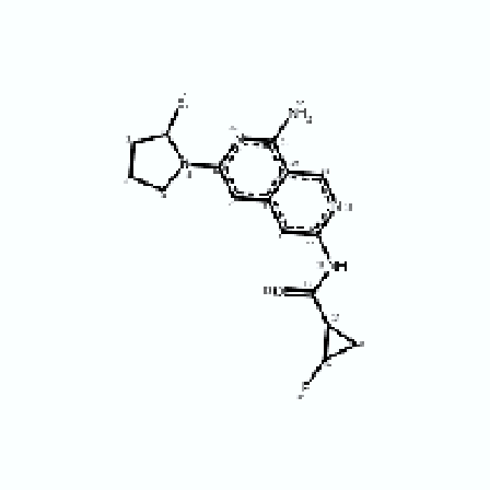 CCC1CCCN1c1cc2cc(NC(=O)C3CC3F)ncc2c(N)n1